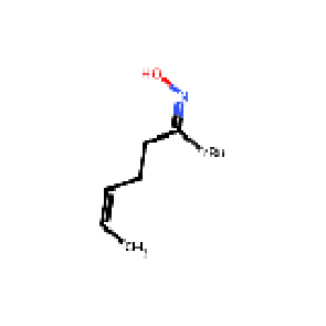 C/C=C\CC/C(CCCC)=N\O